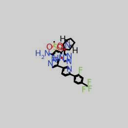 CS(=O)(=O)c1c([C@H]2C[C@H]3CC[C@@H](C2)N3C(=O)c2nnc[nH]2)nc2c(-c3ccc(-c4ccc(C(F)(F)F)cc4F)nc3)cnn2c1N